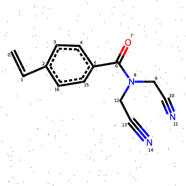 C=Cc1ccc(C(=O)N(CC#N)CC#N)cc1